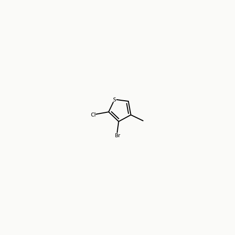 Cc1csc(Cl)c1Br